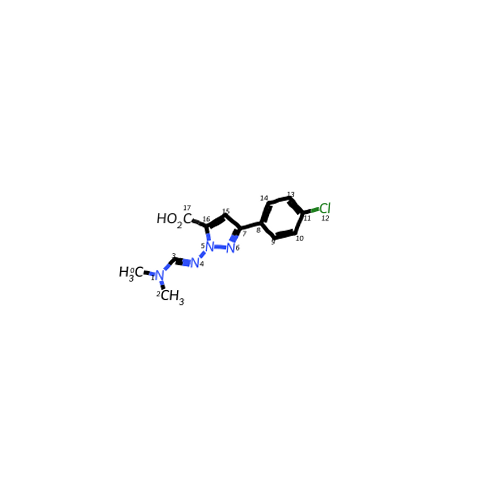 CN(C)/C=N/n1nc(-c2ccc(Cl)cc2)cc1C(=O)O